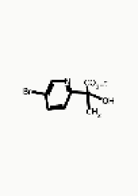 CCOC(=O)C(C)(O)c1ccc(Br)cn1